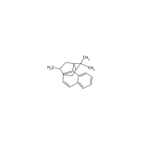 CC1CCC2C(C)(C)C2(c2cccc3ccccc23)C1